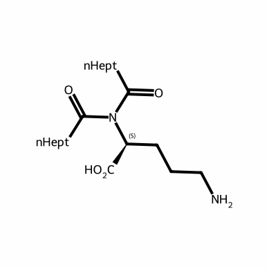 CCCCCCCC(=O)N(C(=O)CCCCCCC)[C@@H](CCCN)C(=O)O